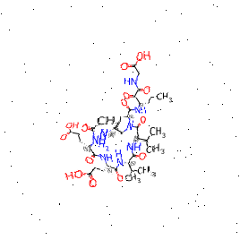 CCC[C@H](NC(=O)[C@@H]1C[C@@H](N)CN1C(=O)[C@@H](NC(=O)[C@@H](NC(=O)[C@H](CCC(=O)O)NC(=O)[C@H](CCC(=O)O)NC(C)=O)C(C)C)C(C)C)C(=O)C(=O)NCC(=O)O